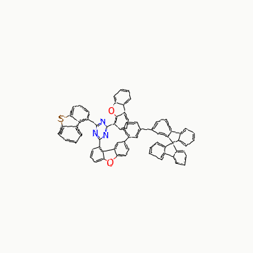 c1cc(-c2ccc3c(c2)C2(c4ccccc4-c4ccccc42)c2ccccc2-3)cc(-c2ccc3oc4cccc(-c5nc(-c6cccc7c6oc6ccccc67)nc(-c6cccc7sc8ccccc8c67)n5)c4c3c2)c1